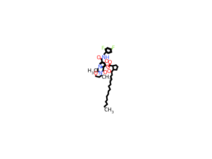 CCCCCCCCCCCCCCCC(=O)C1CCCC1C(=O)Oc1c2n(cc(C(=O)NCc3ccc(F)cc3F)c1=O)C[C@]1(C)OCC[C@@H](C)N1C2=O